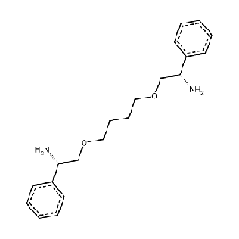 N[C@H](COCCCCOC[C@@H](N)c1ccccc1)c1ccccc1